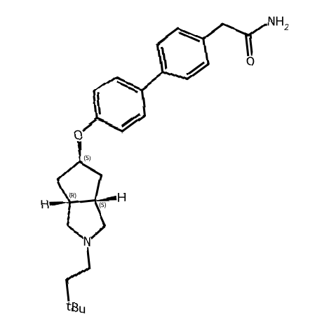 CC(C)(C)CCN1C[C@H]2C[C@H](Oc3ccc(-c4ccc(CC(N)=O)cc4)cc3)C[C@H]2C1